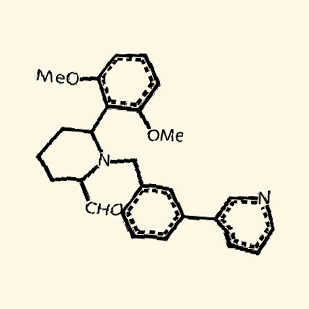 COc1cccc(OC)c1C1CCCC(C=O)N1Cc1cccc(-c2cccnc2)c1